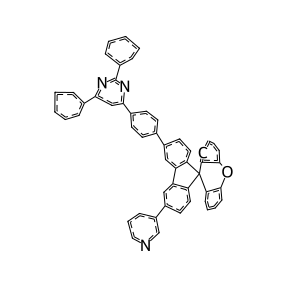 c1ccc(-c2cc(-c3ccc(-c4ccc5c(c4)-c4cc(-c6cccnc6)ccc4C54c5ccccc5Oc5ccccc54)cc3)nc(-c3ccccc3)n2)cc1